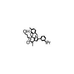 Cc1ccc(Cn2c(-c3cccc(C(C)C)c3)cc3c2C(=O)N(CCCO)C(=O)[C@@H]3I)cc1